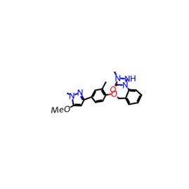 COc1cc(-c2ccc(OCc3ccccc3-n3[nH]n(C)c3=O)c(C)c2)nn1C